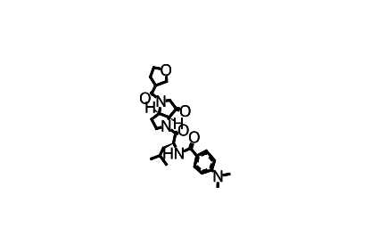 CC(C)C[C@H](NC(=O)c1ccc(N(C)C)cc1)C(=O)N1CC[C@@H]2[C@H]1C(=O)CN2C(=O)C1CCOC1